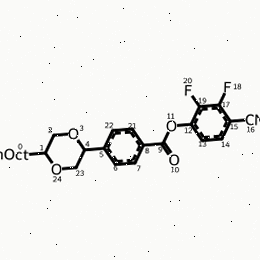 CCCCCCCCC1COC(c2ccc(C(=O)Oc3ccc(C#N)c(F)c3F)cc2)CO1